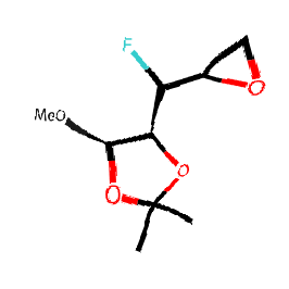 CO[C@@H]1OC(C)(C)O[C@@H]1C(F)C1CO1